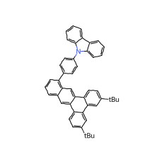 CC(C)(C)c1ccc2c(c1)c1cc(C(C)(C)C)ccc1c1cc3c(-c4ccc(-n5c6ccccc6c6ccccc65)cc4)cccc3cc21